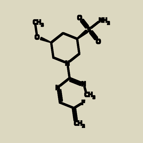 C=C(F)/C=N\C(=N/C)N1C[C@H](OC)C[C@@H](S(N)(=O)=O)C1